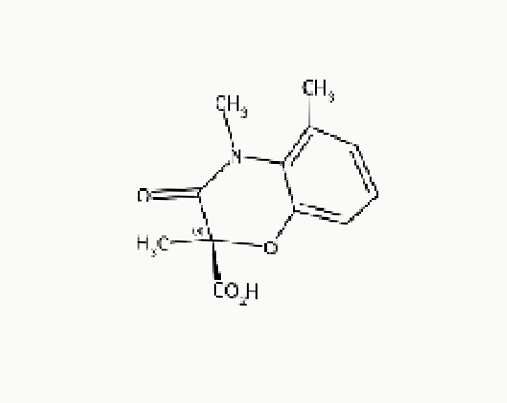 Cc1cccc2c1N(C)C(=O)[C@](C)(C(=O)O)O2